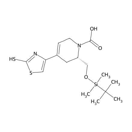 CC(C)(C)[Si](C)(C)OC[C@@H]1CC(c2csc(S)n2)=CCN1C(=O)O